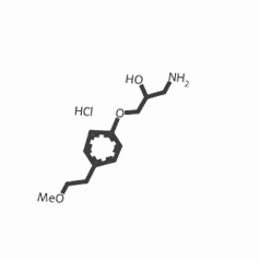 COCCc1ccc(OCC(O)CN)cc1.Cl